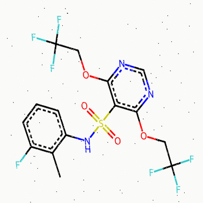 Cc1c(F)cccc1NS(=O)(=O)c1c(OCC(F)(F)F)ncnc1OCC(F)(F)F